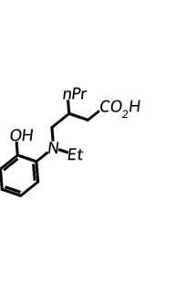 CCCC(CC(=O)O)CN(CC)c1ccccc1O